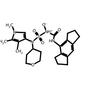 Cc1c(N(C2CCOCC2)S(=O)(=O)[NH+]([O-])C(=O)Nc2c3c(cc4c2CCC4)CCC3)cn(C)c1C